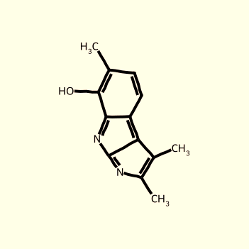 CC1=C(C)C2=c3ccc(C)c(O)c3=NC2=N1